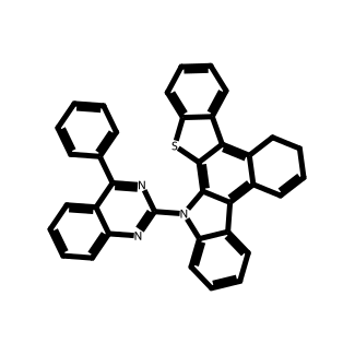 C1=Cc2c(c3c4ccccc4sc3c3c2c2ccccc2n3-c2nc(-c3ccccc3)c3ccccc3n2)CC1